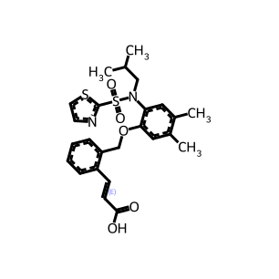 Cc1cc(OCc2ccccc2/C=C/C(=O)O)c(N(CC(C)C)S(=O)(=O)c2nccs2)cc1C